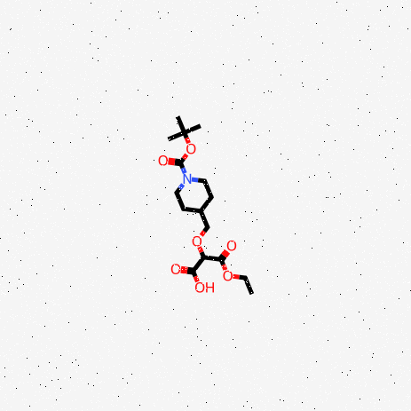 CCOC(=O)C(OCC1CCN(C(=O)OC(C)(C)C)CC1)C(=O)O